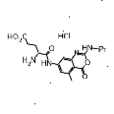 Cc1cc(NC(=O)[C@@H](N)CCC(=O)O)cc2nc(NC(C)C)oc(=O)c12.Cl